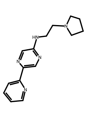 c1ccc(-c2cnc(NCCN3CCCC3)cn2)nc1